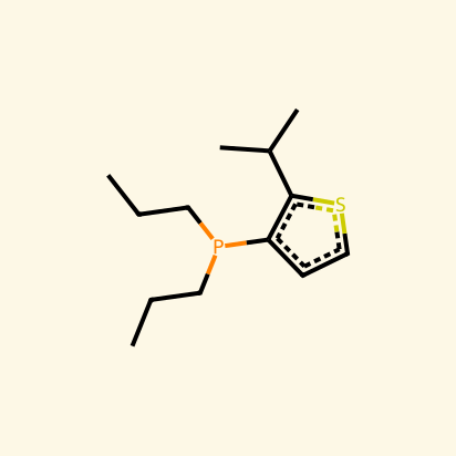 CCCP(CCC)c1ccsc1C(C)C